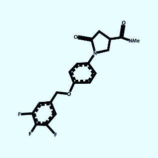 CNC(=O)C1CC(=O)N(c2ccc(OCc3cc(F)c(F)c(F)c3)cc2)C1